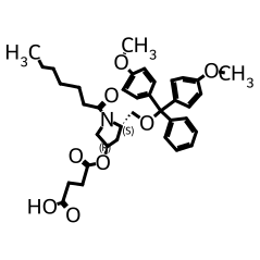 CCCCCCC(=O)N1C[C@H](OC(=O)CCC(=O)O)C[C@H]1COC(c1ccccc1)(c1ccc(OC)cc1)c1ccc(OC)cc1